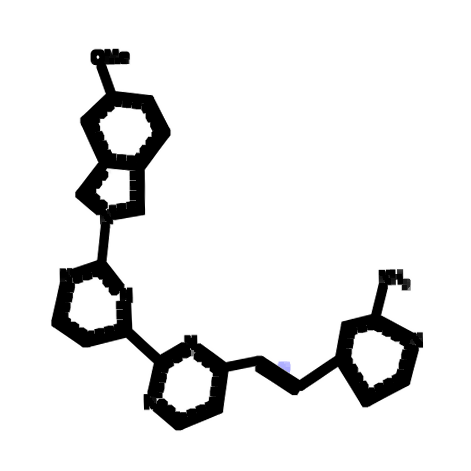 COc1ccc2cn(-c3nccc(-c4nccc(/C=C/c5ccnc(N)c5)n4)n3)cc2c1